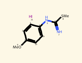 COc1ccc(NC(=N)SC)cc1.I